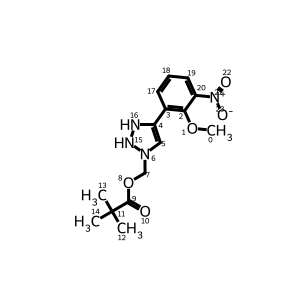 COc1c(C2=CN(COC(=O)C(C)(C)C)NN2)cccc1[N+](=O)[O-]